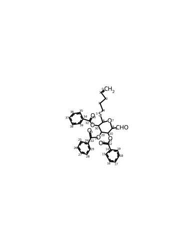 C=CCCCSC1OC(C=O)C(OC(=O)c2ccccc2)C(OC(=O)c2ccccc2)C1OC(=O)c1ccccc1